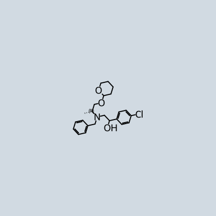 C[C@H](COC1CCCCO1)N(Cc1ccccc1)CC(O)c1ccc(Cl)cc1